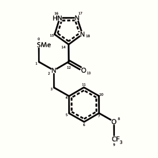 CSCN(Cc1ccc(OC(F)(F)F)cc1)C(=O)c1c[nH]nn1